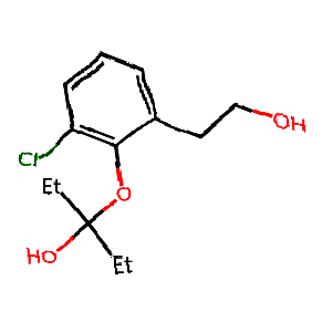 CCC(O)(CC)Oc1c(Cl)cccc1CCO